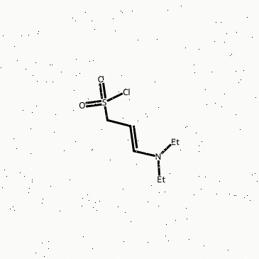 CCN(C=CCS(=O)(=O)Cl)CC